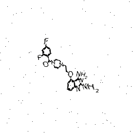 Nc1nc(N)c2c(OCCN3CCN(C(=O)c4ccc(F)cc4F)CC3)cccc2n1